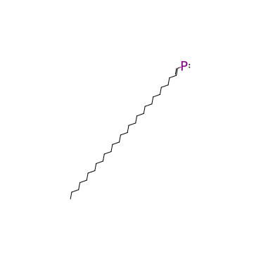 CCCCCCCCCCCCCCCCCCCCCCCCCCC=C[P]